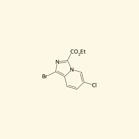 CCOC(=O)c1nc(Br)c2ccc(Cl)cn12